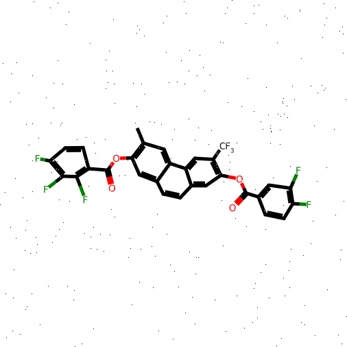 Cc1cc2c(ccc3cc(OC(=O)c4ccc(F)c(F)c4)c(C(F)(F)F)cc32)cc1OC(=O)c1ccc(F)c(F)c1F